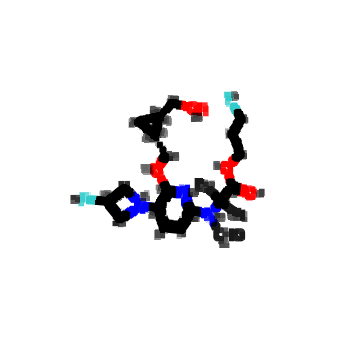 CCC(CC)(C(=O)OCCCF)N(C=O)c1ccc(N2CC(F)C2)c(OC[C@@H]2C[C@H]2CO)n1